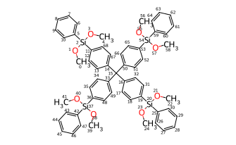 CO[Si](OC)(c1ccccc1)c1ccc(C(c2ccc([Si](OC)(OC)c3ccccc3)cc2)(c2ccc([Si](OC)(OC)c3ccccc3)cc2)c2ccc([Si](OC)(OC)c3ccccc3)cc2)cc1